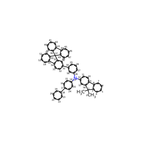 CC1(C)c2ccccc2-c2ccc(N(c3ccc(-c4ccccc4)cc3)c3cccc(-c4ccc5c(c4)C4(c6ccccc6-c6ccccc64)c4ccccc4-5)c3)cc21